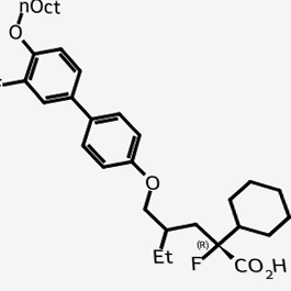 CCCCCCCCOc1ccc(-c2ccc(OCC(CC)C[C@](F)(C(=O)O)C3CCCCC3)cc2)cc1F